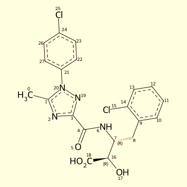 Cc1nc(C(=O)N[C@H](Cc2ccccc2Cl)[C@@H](O)C(=O)O)nn1-c1ccc(Cl)cc1